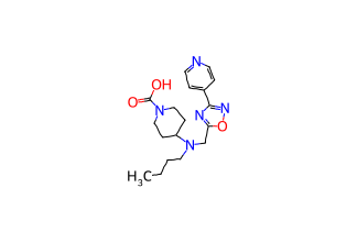 CCCCN(Cc1nc(-c2ccncc2)no1)C1CCN(C(=O)O)CC1